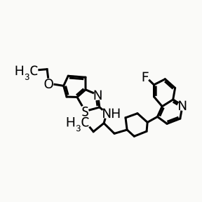 CCOc1ccc2nc(NC(CC)CC3CCC(c4ccnc5ccc(F)cc45)CC3)sc2c1